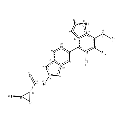 CC(C)Nc1c(F)c(Cl)c(-c2cn3cc(NC(=O)[C@@H]4C[C@H]4F)nc3cn2)c2cn[nH]c12